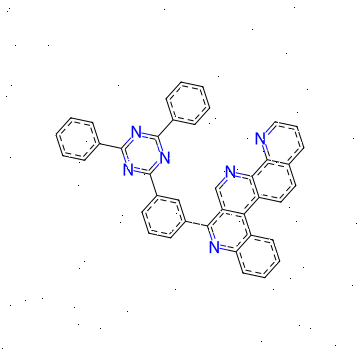 c1ccc(-c2nc(-c3ccccc3)nc(-c3cccc(-c4nc5ccccc5c5c4cnc4c5ccc5cccnc54)c3)n2)cc1